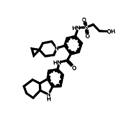 O=C(Nc1ccc2c(c1)C1CCCCC1N2)c1ccc(NS(=O)(=O)CCO)cc1N1CCC2(CC1)CC2